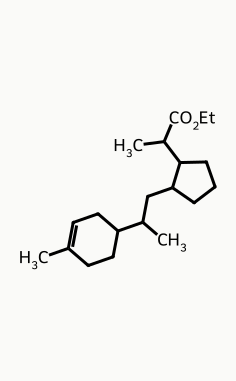 CCOC(=O)C(C)C1CCCC1CC(C)C1CC=C(C)CC1